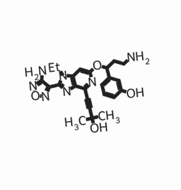 CCn1c(-c2nonc2N)nc2c(C#CC(C)(C)O)nc(OC(CCN)c3cccc(O)c3)cc21